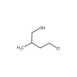 CC(CO)CCCl